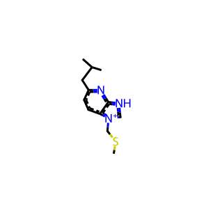 CSC[n+]1c[nH]c2nc(CC(C)C)ccc21